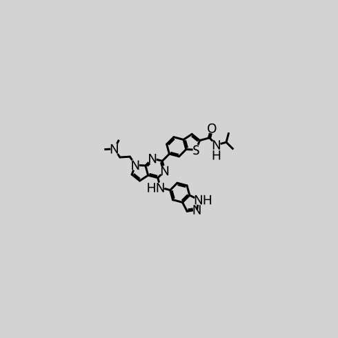 CC(C)NC(=O)c1cc2ccc(-c3nc(Nc4ccc5[nH]ncc5c4)c4ccn(CCN(C)C)c4n3)cc2s1